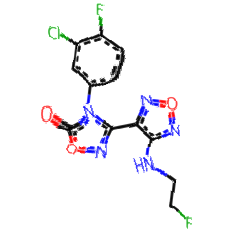 O=c1onc(-c2nonc2NCCF)n1-c1ccc(F)c(Cl)c1